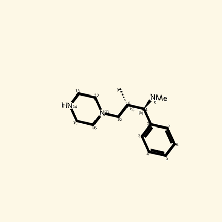 CN[C@@H](c1ccccc1)[C@@H](C)CN1CCNCC1